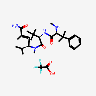 CN[C@H](C(=O)N[C@H](C(=O)N(C)[C@H](/C=C(\C)C(N)=O)C(C)C)C(C)(C)C)C(C)(C)c1ccccc1.O=C(O)C(F)(F)F